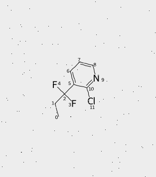 CCC(F)(F)c1cccnc1Cl